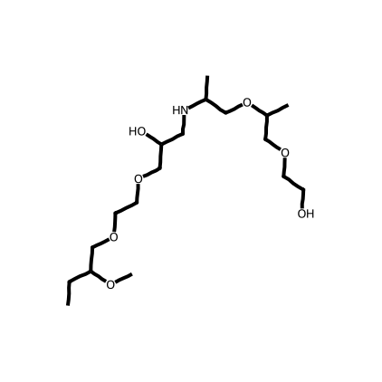 CCC(COCCOCC(O)CNC(C)COC(C)COCCO)OC